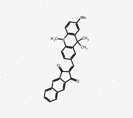 CN1c2ccc(C=C3C(=O)c4cc5ccccc5cc4C3=O)cc2C(C)(C)c2cc(C(C)(C)C)ccc21